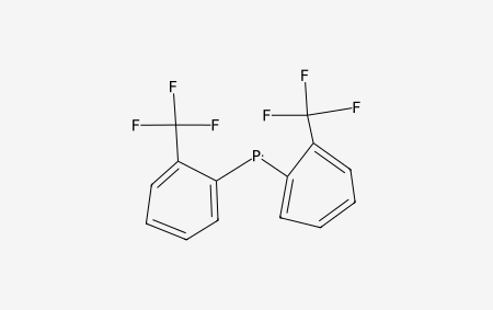 FC(F)(F)c1ccccc1[P]c1ccccc1C(F)(F)F